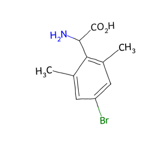 Cc1cc(Br)cc(C)c1C(N)C(=O)O